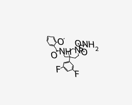 COc1ccccc1C(=O)NCC1(c2cc(F)cc(F)c2)CCN(S(N)(=O)=O)CC1